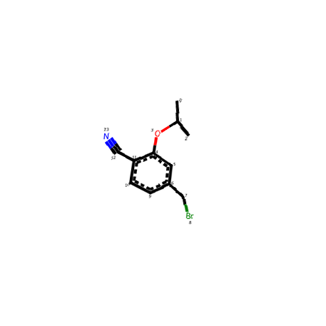 CC(C)Oc1cc(CBr)ccc1C#N